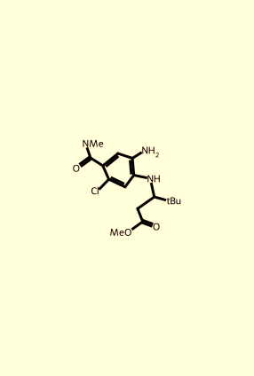 CNC(=O)c1cc(N)c(NC(CC(=O)OC)C(C)(C)C)cc1Cl